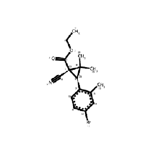 CCOC(=O)[C@@]1(C#N)[C@H](c2ccc(Br)cc2C)C1(C)C